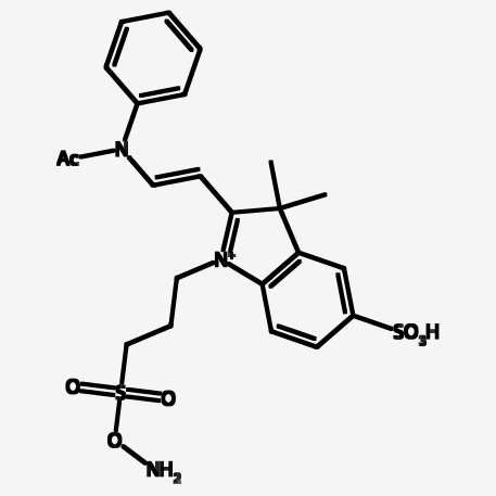 CC(=O)N(/C=C/C1=[N+](CCCS(=O)(=O)ON)c2ccc(S(=O)(=O)O)cc2C1(C)C)c1ccccc1